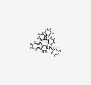 c1ccc(-n2c3ccc4c5ccccc5oc4c3c3c2ccc2c4ccccc4n(-c4ccccc4)c23)cc1